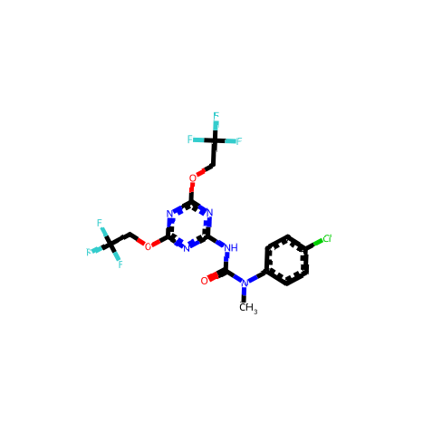 CN(C(=O)Nc1nc(OCC(F)(F)F)nc(OCC(F)(F)F)n1)c1ccc(Cl)cc1